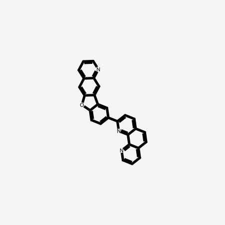 c1cnc2cc3c(cc2c1)oc1ccc(-c2ccc4ccc5cccnc5c4n2)cc13